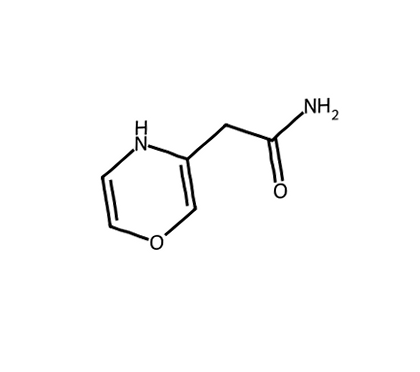 NC(=O)CC1=COC=CN1